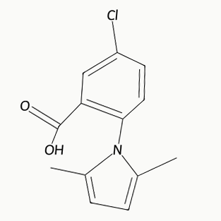 Cc1ccc(C)n1-c1ccc(Cl)cc1C(=O)O